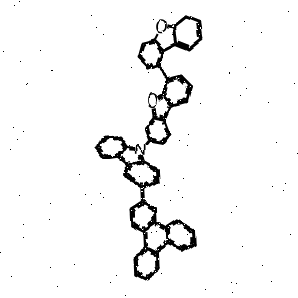 C1=CCC2Oc3cccc(-c4cccc5c4oc4cc(-n6c7ccccc7c7cc(-c8ccc9c%10ccccc%10c%10ccccc%10c9c8)ccc76)ccc45)c3C2=C1